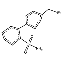 CC(C)Cc1ccc(-c2ccccc2S(N)(=O)=O)cc1